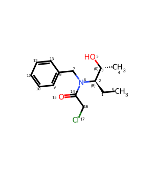 CC[C@H]([C@@H](C)O)N(Cc1ccccc1)C(=O)CCl